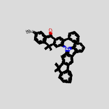 CC(C)(C)c1ccc2c(c1)C(=O)c1cc(-c3ccccc3)c(-n3c4ccccc4c4cc5c(cc43)C(C)(C)c3ccccc3-5)cc1C2(C)C